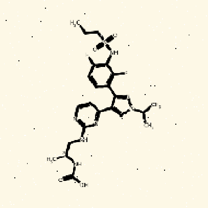 CCCS(=O)(=O)Nc1c(F)ccc(-c2nn(C(C)C)cc2-c2ccnc(NC[C@H](C)NC(=O)O)n2)c1F